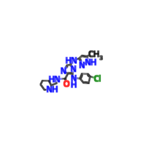 Cc1cc(Nc2cnc(C(=O)NCC3CCCCN3)c(Nc3ccc(Cl)cc3)n2)n[nH]1